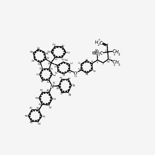 C=CC(C)(C)[C@@H](C)CC(c1ccc(Oc2ccc(C3(c4ccccc4)c4ccccc4-c4ccc(N(c5ccccc5)c5ccc(-c6ccccc6)cc5)cc43)cc2)cc1)C(C)(C)C